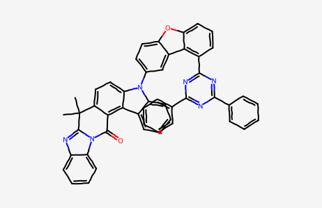 CC1(C)c2ccc3c(c2C(=O)n2c1nc1ccccc12)c1ccccc1n3-c1ccc2oc3cccc(-c4nc(-c5ccccc5)nc(-c5ccccc5)n4)c3c2c1